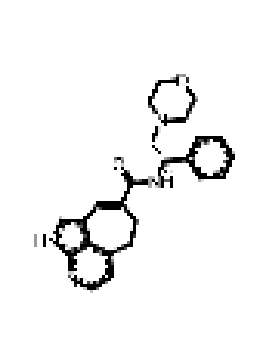 O=C(N[C@H](CN1CCOCC1)c1ccccc1)C1=Cc2c[nH]c3nccc(c23)CC1